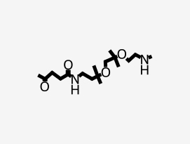 CNCCOC(C)(C)COC(C)(C)CCNC(=O)CCC(C)=O